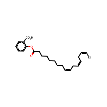 CC/C=C\C/C=C\C/C=C\CCCCCCCC(=O)Oc1ccccc1C(=O)O